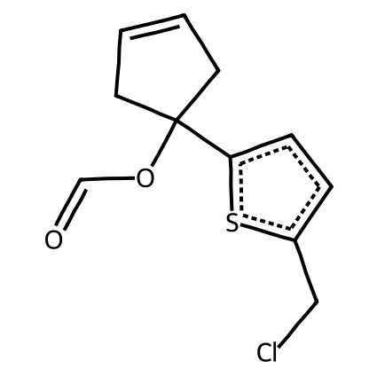 O=COC1(c2ccc(CCl)s2)CC=CC1